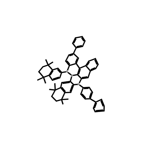 CC1(C)CCC(C)(C)c2cc(N3B4c5cc6c(cc5N(c5ccc(-c7ccccc7)cc5)c5cc7ccccc7c(c54)-c4cc(-c5ccccc5)ccc43)C(C)(C)CCC6(C)C)ccc21